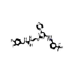 N=C(NCCOc1nc(N/N=C/c2cccc(C(F)(F)F)c2)cc(N2CCOCC2)n1)NCc1ccc(F)c(F)c1